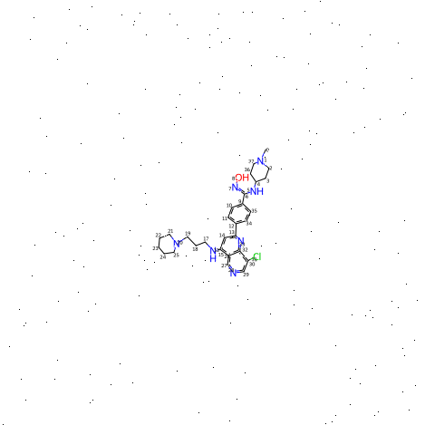 CN1CCC(N/C(=N\O)c2ccc(-c3cc(NCCCN4CCCCC4)c4cncc(Cl)c4n3)cc2)CC1